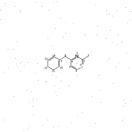 C=C(C)/N=C(\C=C/C)CC1=CCCC=C1